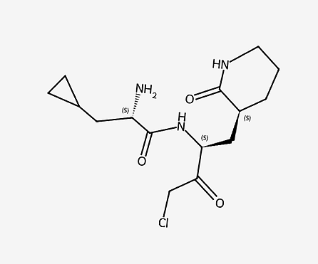 N[C@@H](CC1CC1)C(=O)N[C@@H](C[C@@H]1CCCNC1=O)C(=O)CCl